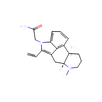 C=Cc1c2c3c(cccc3n1CC(N)=O)[C@H]1CCCN(CC)[C@@H]1C2